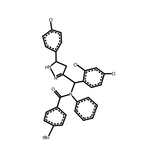 CC(C)(C)c1ccc(C(=O)N(c2ccccc2)C(C2=NNC(c3ccc(Cl)cc3)C2)c2ccc(Cl)cc2Cl)cc1